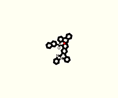 O=P(c1ccc2ccccc2c1)(c1cccc2cc3c4ccccc4n4c5ccccc5nc4c3cc12)c1cccc2c1ccc1ccccc12